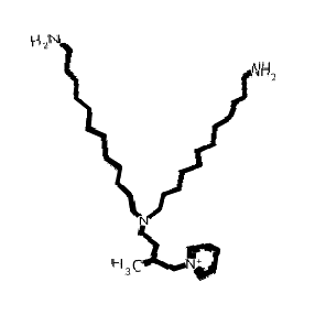 CC(CCN(CCCCCCCCCCCCN)CCCCCCCCCCCCN)C[n+]1ccccc1